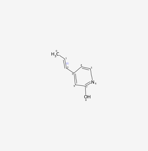 C/C=C/c1ccnc(O)c1